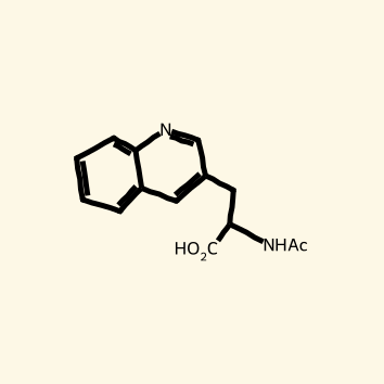 CC(=O)NC(Cc1cnc2ccccc2c1)C(=O)O